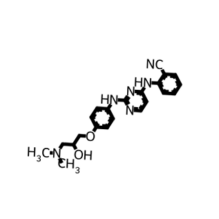 CN(C)CC(O)COc1ccc(Nc2nccc(Nc3ccccc3C#N)n2)cc1